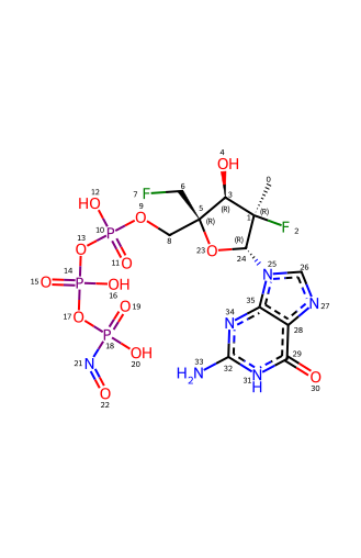 C[C@@]1(F)[C@H](O)[C@@](CF)(COP(=O)(O)OP(=O)(O)OP(=O)(O)N=O)O[C@H]1n1cnc2c(=O)[nH]c(N)nc21